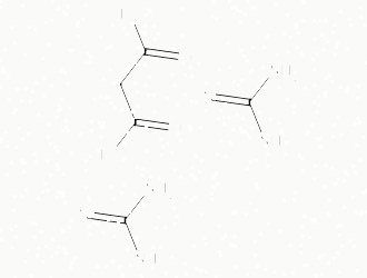 N=C(N)N.N=C(N)N.O=C(O)CC(=O)O